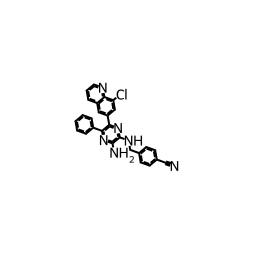 N#Cc1ccc(CNc2nc(-c3cc(Cl)c4ncccc4c3)c(-c3ccccc3)nc2N)cc1